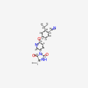 CC[C@H]1NC(=O)N(c2ccc(Oc3ccc(C#N)c(C(C)C)c3)nc2)C1=O